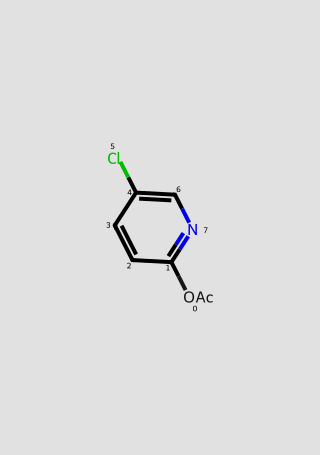 CC(=O)Oc1c[c]c(Cl)cn1